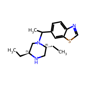 CC[C@H]1CN(C(C)c2ccc3ncsc3c2)[C@H](CC)CN1